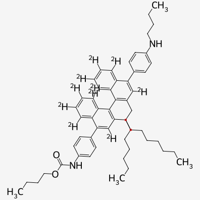 [2H]c1c([2H])c([2H])c2c(-c3c(CCCCCCCC)c([2H])c(-c4ccc(NC(=O)OCCCC)cc4)c4c([2H])c([2H])c([2H])c([2H])c34)c(CCCCCCCC)c([2H])c(-c3ccc(NCCCC)cc3)c2c1[2H]